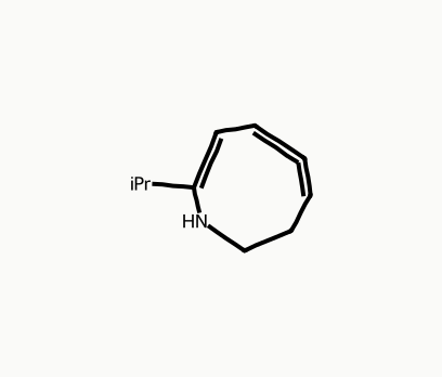 CC(C)/C1=C/C=C=CCCN1